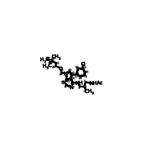 CC(=O)NCC(C)CNc1ncnc2c1c(-c1cccc(Cl)c1)cn2COCC[Si](C)(C)C